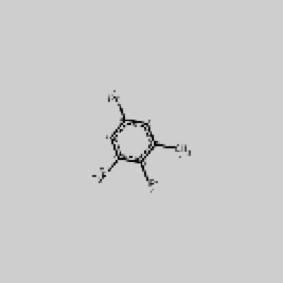 Bc1cc(C(C)C)cc(C)c1C(C)C